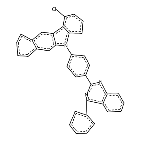 Clc1cccc2c1c1cc3ccccc3cc1n2-c1ccc(-c2nc(-c3ccccc3)c3ccccc3n2)cc1